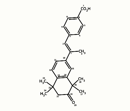 CC(=Cc1ccc(C(=O)O)cc1)c1ccc2c(c1)C(C)(C)C(=O)CC2(C)C